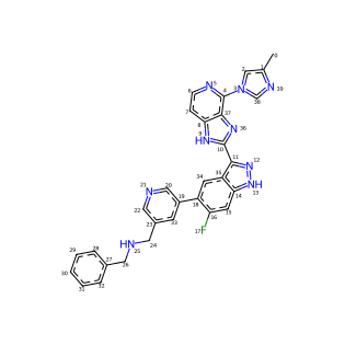 Cc1cn(-c2nccc3[nH]c(-c4n[nH]c5cc(F)c(-c6cncc(CNCc7ccccc7)c6)cc45)nc23)cn1